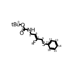 CC(C)(C)OC(=O)NC/C=C(\F)CSc1ccccc1